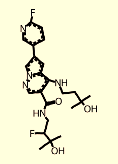 CC(C)(O)CCNc1c(C(=O)NCC(F)C(C)(C)O)cnn2cc(-c3ccc(F)nc3)cc12